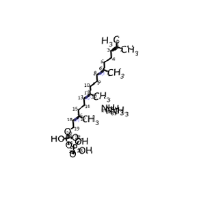 CC(C)=CCC/C(C)=C/CC/C(C)=C/CC/C(C)=C/COP(=O)(O)OP(=O)(O)O.N.N.N